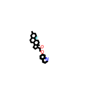 CC1CCC2(F)C(CCC3C4CCC(C(=O)COc5ccc6cccnc6c5)C4(C)CCC32)C1